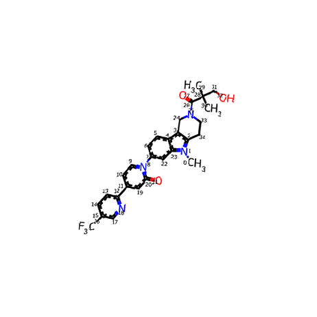 Cn1c2c(c3ccc(-n4ccc(-c5ccc(C(F)(F)F)cn5)cc4=O)cc31)CN(C(=O)C(C)(C)CO)CC2